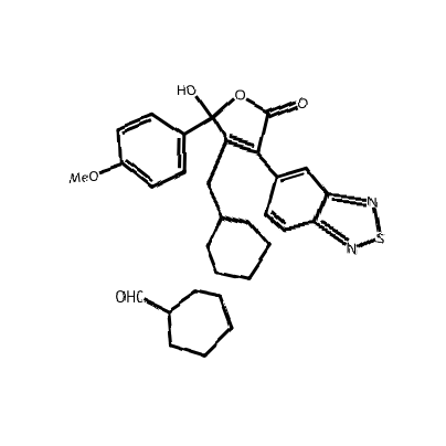 COc1ccc(C2(O)OC(=O)C(c3ccc4nsnc4c3)=C2CC2CCCCC2)cc1.O=CC1CCCCC1